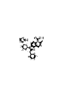 CC1CCc2c(ccc3c2nc(Cc2ccccc2)n3[C@H]2CCC[C@H](c3nnn[nH]3)C2)N1C(=O)O